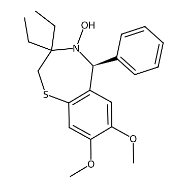 CCC1(CC)CSc2cc(OC)c(OC)cc2[C@H](c2ccccc2)N1O